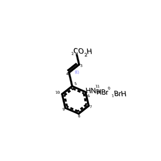 Br.Br.O=C(O)/C=C/c1ccccc1.[NaH]